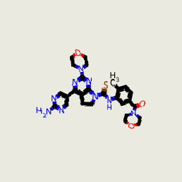 Cc1ccc(C(=O)N2CCOCC2)cc1NC(=S)N1CCc2c(-c3cnc(N)nc3)nc(N3CCOCC3)nc21